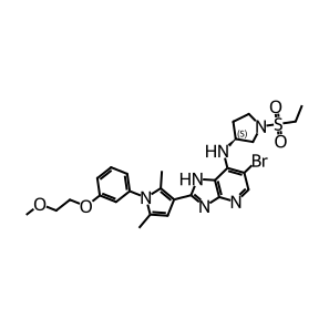 CCS(=O)(=O)N1CC[C@H](Nc2c(Br)cnc3nc(-c4cc(C)n(-c5cccc(OCCOC)c5)c4C)[nH]c23)C1